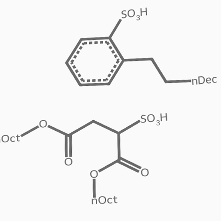 CCCCCCCCCCCCc1ccccc1S(=O)(=O)O.CCCCCCCCOC(=O)CC(C(=O)OCCCCCCCC)S(=O)(=O)O